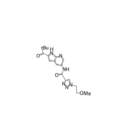 COCCn1cc(C(=O)Nc2cnc3[nH]c(C(=O)C(C)(C)C)cc3c2)nn1